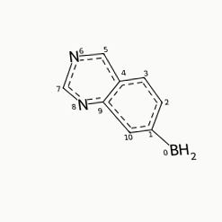 Bc1ccc2cncnc2c1